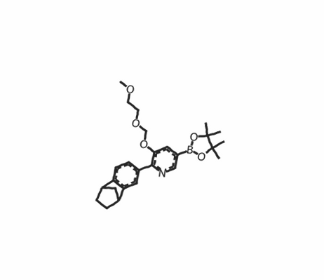 COCCOCOc1cc(B2OC(C)(C)C(C)(C)O2)cnc1-c1ccc2c(c1)C1CCC2C1